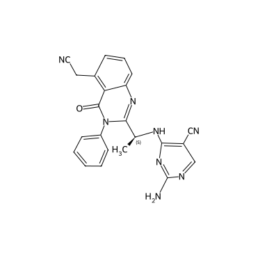 C[C@H](Nc1nc(N)ncc1C#N)c1nc2cccc(CC#N)c2c(=O)n1-c1ccccc1